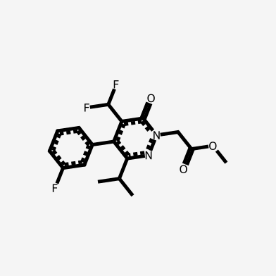 COC(=O)Cn1nc(C(C)C)c(-c2cccc(F)c2)c(C(F)F)c1=O